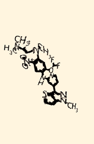 CN(C)CCN(C)c1cc(OC(F)F)c(Nc2cc(-c3nn(C)c4ccsc34)ccn2)cc1[N+](=O)[O-]